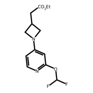 CCOC(=O)CC1CN(c2ccnc(OC(F)F)c2)C1